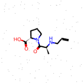 C=CCN[C@@H](C)C(=O)N1CCC[C@H]1C(=O)O